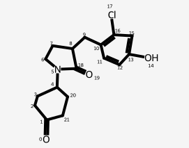 O=C1CCC(N2CCC(Cc3ccc(O)cc3Cl)C2=O)CC1